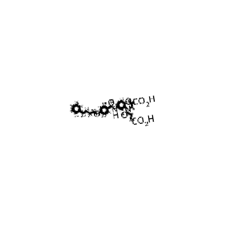 O=C(O)CCC(=O)N1CC(C(=O)O)Oc2ccc(NC(=O)c3ccc(OCCCCc4ccccc4)cc3)cc21